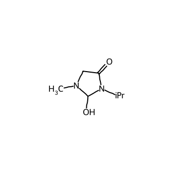 CC(C)N1C(=O)CN(C)C1O